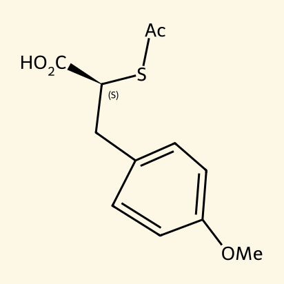 COc1ccc(C[C@H](SC(C)=O)C(=O)O)cc1